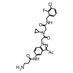 CC(=O)c1nn(CC(=O)N(CC(=O)NCc2cccc(Cl)c2F)C2CC2)c2ccc(NC(=O)CCN)cc12